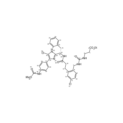 CCOC(=O)CCNC(=O)NCc1ccc(Cl)cc1CCC(=O)N[C@@H](Cc1ccccc1)c1nc(-c2ccc(NC(=O)OC)cc2)c(Cl)[nH]1